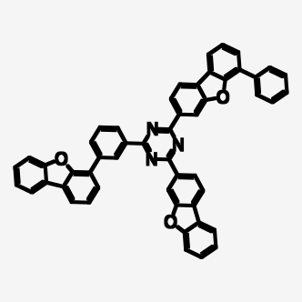 c1ccc(-c2cccc3c2oc2cc(-c4nc(-c5cccc(-c6cccc7c6oc6ccccc67)c5)nc(-c5ccc6c(c5)oc5ccccc56)n4)ccc23)cc1